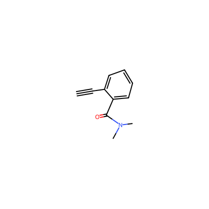 C#Cc1ccccc1C(=O)N(C)C